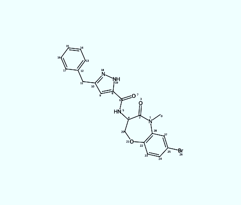 CN1C(=O)C(NC(=O)c2cc(Cc3ccccc3)n[nH]2)COc2ccc(Br)cc21